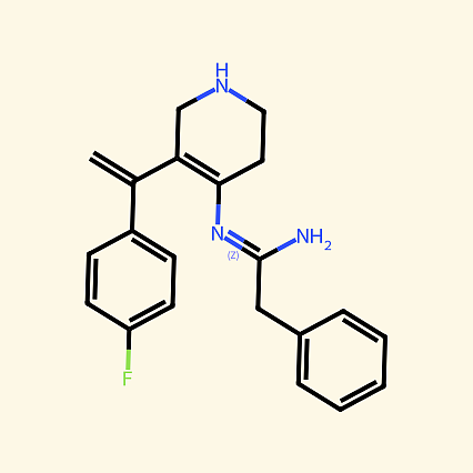 C=C(C1=C(/N=C(\N)Cc2ccccc2)CCNC1)c1ccc(F)cc1